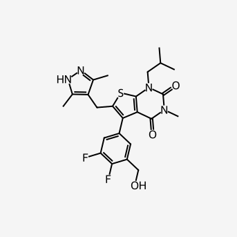 Cc1n[nH]c(C)c1Cc1sc2c(c1-c1cc(F)c(F)c(CO)c1)c(=O)n(C)c(=O)n2CC(C)C